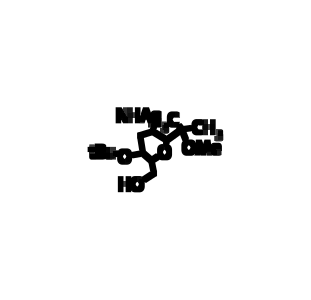 COC(C)(C)C1OC(CO)C(OC(C)(C)C)CC1NC(C)=O